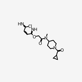 CN(C(=O)COC(=N)/C=C\C(=N)Cl)C1CCN(C(=O)C2CC2)CC1